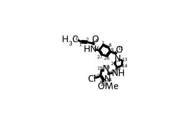 CC#CC(=O)Nc1ccc(C(=O)N2CC[C@@H](Nc3ncc(Cl)c(OC)n3)C2)cc1